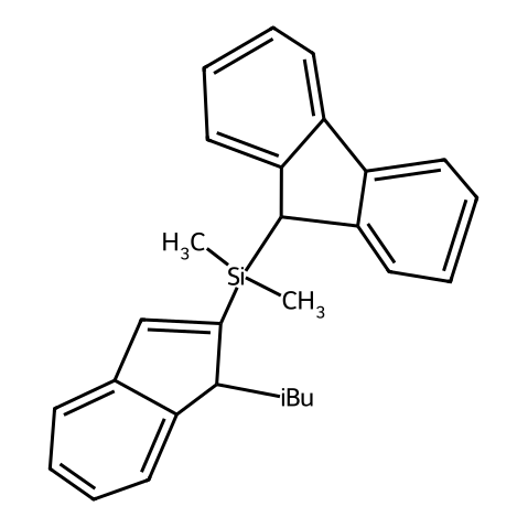 CCC(C)C1C([Si](C)(C)C2c3ccccc3-c3ccccc32)=Cc2ccccc21